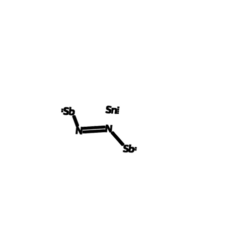 [Sb][N]=[N][Sb].[Sn]